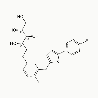 Cc1ccc(CC[C@@H](O)[C@H](O)[C@H](O)CO)cc1Cc1ccc(-c2ccc(F)cc2)s1